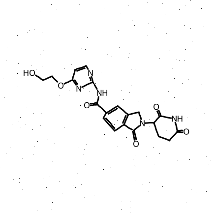 O=C1CCC(N2Cc3cc(C(=O)Nc4nccc(OCCO)n4)ccc3C2=O)C(=O)N1